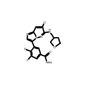 CNC(=O)c1cc(F)c(F)c(-c2cnc3cc(Cl)c(NC4CCOC4)nn23)c1